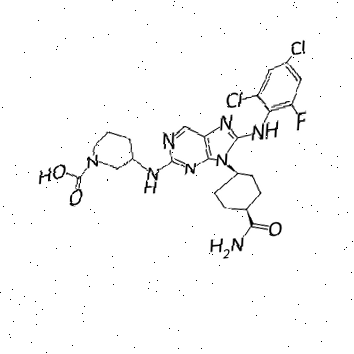 NC(=O)[C@H]1CC[C@@H](n2c(Nc3c(F)cc(Cl)cc3Cl)nc3cnc(NC4CCCN(C(=O)O)C4)nc32)CC1